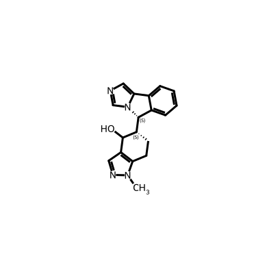 Cn1ncc2c1CC[C@@H]([C@H]1c3ccccc3-c3cncn31)C2O